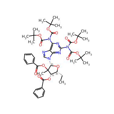 CC[C@H]1O[C@@H](n2cnc3c(N(C(=O)OC(C)(C)C)C(=O)OC(C)(C)C)nc(N(C(=O)OC(C)(C)C)C(=O)OC(C)(C)C)nc32)C(C)(OC(=O)c2ccccc2)[C@H]1OC(=O)c1ccccc1